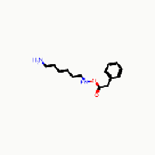 NCCCCCCNOC(=O)Cc1ccccc1